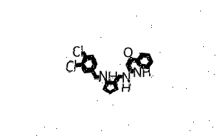 O=c1cc(NCC2CCC[C@@H]2NCc2ccc(Cl)c(Cl)c2)[nH]c2ccccc12